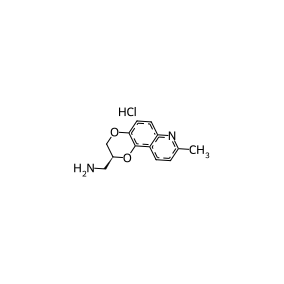 Cc1ccc2c3c(ccc2n1)OC[C@H](CN)O3.Cl